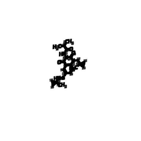 C=C(C)C(=O)Nn1c(=O)c2cc(SNC3(C)CC3)ccc2n(CC2(C)CC2)c1=O